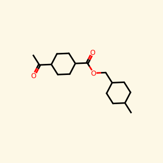 CC(=O)C1CCC(C(=O)OCC2CCC(C)CC2)CC1